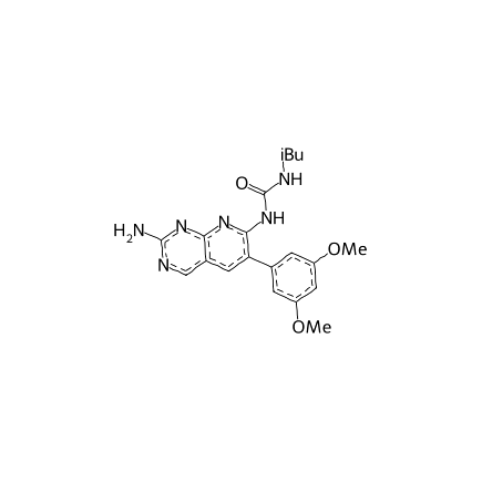 CCC(C)NC(=O)Nc1nc2nc(N)ncc2cc1-c1cc(OC)cc(OC)c1